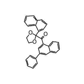 O=C(c1cc(-c2ccccc2)cc2ccccc12)C1(c2cccc3ccccc23)OCCO1